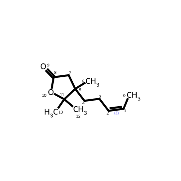 C/C=C\CCC1(C)CC(=O)OC1(C)C